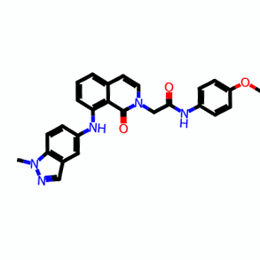 COc1ccc(NC(=O)Cn2ccc3cccc(Nc4ccc5c(cnn5C)c4)c3c2=O)cc1